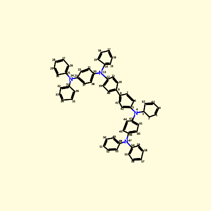 C1=CCC(N(c2ccc(-c3ccc(N(c4ccccc4)c4ccc(N(c5ccccc5)c5ccccc5)cc4)cc3)cc2)c2ccc(N(c3ccccc3)c3ccccc3)cc2)C=C1